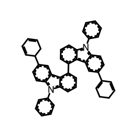 C1=CCC(c2ccc3c(c2)c2c(-c4cccc5c4c4cc(C6=CCCC=C6)ccc4n5-c4ccccc4)cccc2n3-c2ccccc2)C=C1